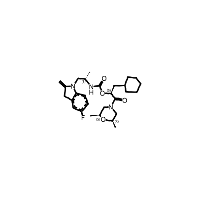 C=C1Cc2cc(F)ccc2N1C[C@H](C)NC(=O)O[C@@H](CC1CCCCC1)C(=O)N1C[C@@H](C)O[C@@H](C)C1